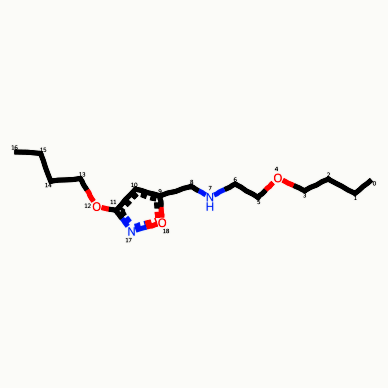 CCCCOCCNCc1cc(OCCCC)no1